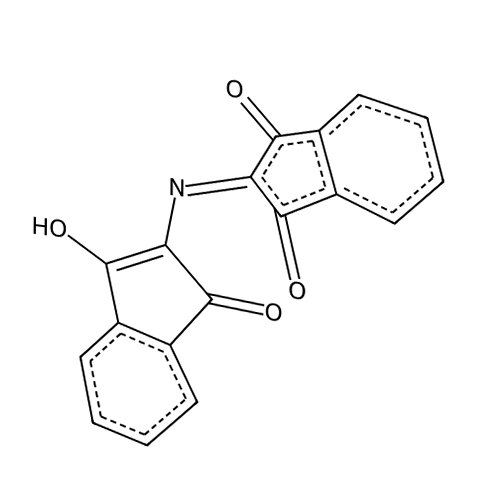 O=C1C(N=c2c(=O)c3ccccc3c2=O)=C(O)c2ccccc21